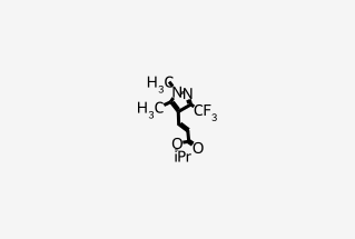 Cc1c(C=CC(=O)OC(C)C)c(C(F)(F)F)nn1C